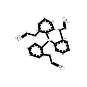 C=CCc1ccccc1P(c1ccccc1CC=C)c1ccccc1CC=C